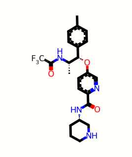 Cc1ccc([C@H](Oc2ccc(C(=O)N[C@H]3CCCNC3)nc2)[C@H](C)NC(=O)C(F)(F)F)cc1